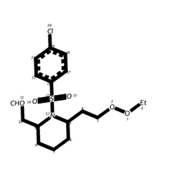 CCOOCCC1CCCC(CC=O)N1S(=O)(=O)c1ccc(Cl)cc1